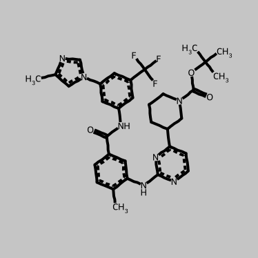 Cc1cn(-c2cc(NC(=O)c3ccc(C)c(Nc4nccc(C5CCCN(C(=O)OC(C)(C)C)C5)n4)c3)cc(C(F)(F)F)c2)cn1